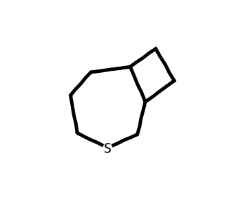 C1CSCC2CCC2C1